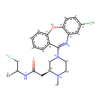 CCC(CF)NC(=O)C[C@H]1CN(C2=Nc3cc(Cl)ccc3Oc3ccccc32)CCN1C